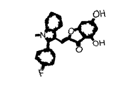 Cn1c(-c2ccc(F)cc2)c(/C=C2\Oc3cc(O)cc(O)c3C2=O)c2ccccc21